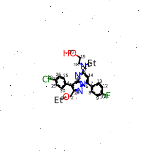 CCOCc1nn2c(-c3ccc(F)cc3)cc(N(CC)CCO)nc2c1-c1ccc(Cl)cc1